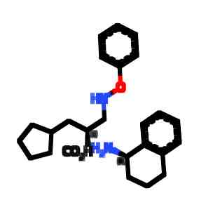 N[C@@H]1CCCc2ccccc21.O=C(O)[C@H](CNOc1ccccc1)CC1CCCC1